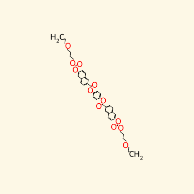 C=CCOCCCCOC(=O)Oc1ccc2cc(C(=O)Oc3ccc(OC(=O)c4ccc5cc(OC(=O)OCCCCOCC=C)ccc5c4)cc3)ccc2c1